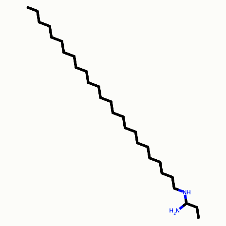 CCCCCCCCCCCCCCCCCCCCCCCCCNC(N)CC